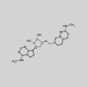 CNc1ccc2ccc(CC[C@H]3C[C@@H](n4ccc5c(NC)ncnc54)[C@H](O)[C@@H]3O)cc2n1